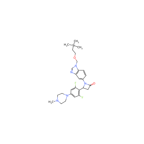 CN1CCN(c2cc(F)c(C3CC(=O)N3c3ccc4c(c3)ncn4COCC[Si](C)(C)C)c(F)c2)CC1